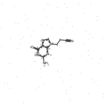 N#CCCn1cnc2c(=O)[nH]c(N)nc21